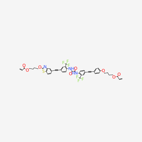 C=CC(=O)OCCCCOc1ccc(C#Cc2ccc(NC(=O)C(=O)Nc3ccc(C#Cc4ccc5sc(OCCCCOC(=O)C=C)nc5c4)cc3C(F)(F)F)c(C(F)(F)F)c2)cc1